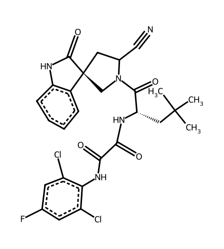 CC(C)(C)C[C@H](NC(=O)C(=O)Nc1c(Cl)cc(F)cc1Cl)C(=O)N1C[C@]2(CC1C#N)C(=O)Nc1ccccc12